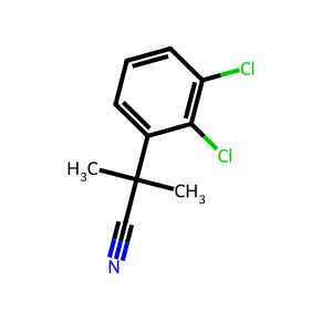 CC(C)(C#N)c1cccc(Cl)c1Cl